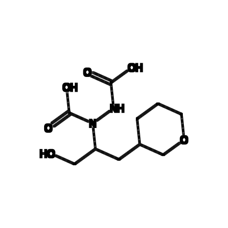 O=C(O)NN(C(=O)O)C(CO)CC1CCCOC1